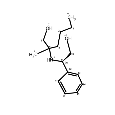 CCCCC(C)(CO)N[C@@H](CO)c1ccccc1